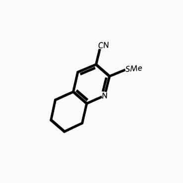 CSc1nc2c(cc1C#N)CCCC2